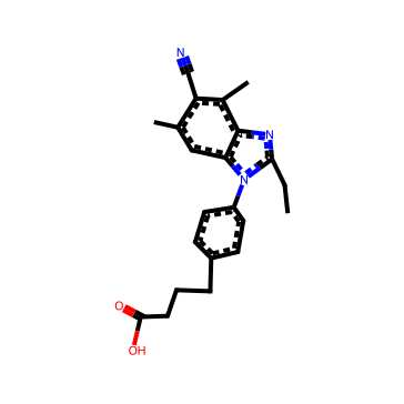 CCc1nc2c(C)c(C#N)c(C)cc2n1-c1ccc(CCCC(=O)O)cc1